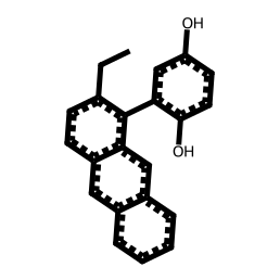 CCc1ccc2cc3ccccc3cc2c1-c1cc(O)ccc1O